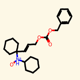 O=C(OCC=CC1([NH+]([O-])C2CCCCC2)CCCCC1)OCc1ccccc1